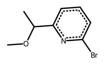 COC(C)c1cccc(Br)n1